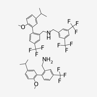 COc1ccc(C(C)C)cc1-c1ccc(C(F)(F)F)cc1CN.COc1ccc(C(C)C)cc1-c1ccc(C(F)(F)F)cc1CNCc1cc(C(F)(F)F)cc(C(F)(F)F)c1